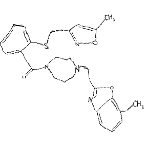 Cc1cc(CSc2ccccc2C(=O)N2CCN(Cc3nc4cccc(C)c4o3)CC2)no1